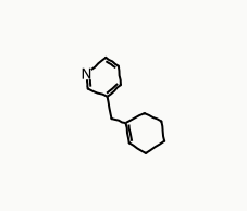 C1=C(Cc2cccnc2)CCCC1